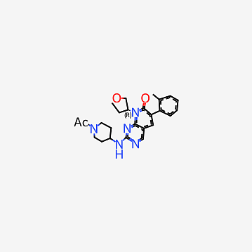 CC(=O)N1CCC(Nc2ncc3cc(-c4ccccc4C)c(=O)n([C@@H]4CCOC4)c3n2)CC1